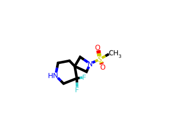 CS(=O)(=O)N1CC2(CCNCC2(F)F)C1